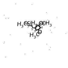 COc1cc(CCC[SiH2]C)cc(OC)c1